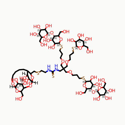 OCC1O[C@@H]2OCCCCCC3C(CSCCNC(=S)NCC(COCCCS[C@H]4OC(CO)[C@@H](O)[C@H](O)C4O)(COCCCS[C@@H]4OC(CO)[C@@H](O[C@@H]5OC(CO)[C@H](O)[C@H](O)C5O)[C@H](O)C4O)COCCCS[C@@H]4OC(CO)[C@@H](O[C@@H]5OC(CO)[C@H](O)[C@H](O)C5O)[C@H](O)C4O)O[C@H](OC1[C@H](O)C2O)C(O)[C@H]3O